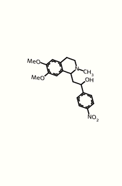 COc1cc2c(cc1OC)C(CC(O)c1ccc([N+](=O)[O-])cc1)N(C)CC2